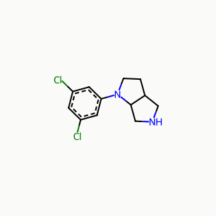 Clc1cc(Cl)cc(N2CCC3CNCC32)c1